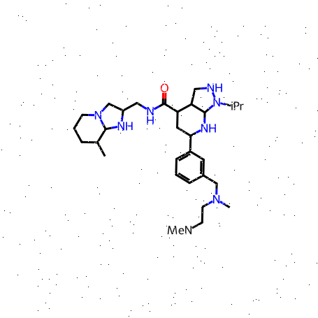 CNCCN(C)Cc1cccc(C2CC(C(=O)NCC3CN4CCCC(C)C4N3)C3CNN(C(C)C)C3N2)c1